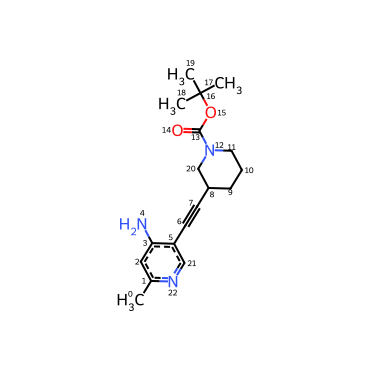 Cc1cc(N)c(C#CC2CCCN(C(=O)OC(C)(C)C)C2)cn1